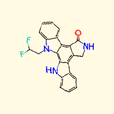 O=C1NCc2c1c1c3ccccc3n(CC(F)F)c1c1[nH]c3ccccc3c21